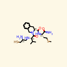 CSCC[C@H](NC(=O)[C@H]1Cc2ccccc2CN1C(=O)[C@@H](NC[C@H](N)CS)C(C)C)C(N)=O